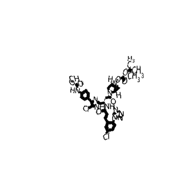 COC(=O)Nc1ccc(-c2nc([C@H](CC(=O)N3C[C@@H]4C[C@H]3CN4OC(=O)OC(C)(C)C)NC(=O)/C=C/c3cc(Cl)ccc3-n3cnnn3)[nH]c2Cl)cc1